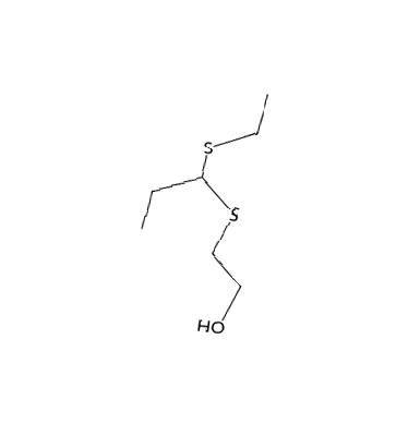 CCSC(CC)SCCO